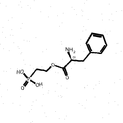 N[C@@H](Cc1ccccc1)C(=O)OCCP(=O)(O)O